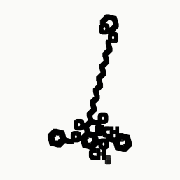 COC(=O)C(CCCCCCCCCCCCCOC1CCCCO1)C(=O)c1cc(OCc2ccccc2)c(C)cc1OCc1ccccc1